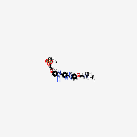 CN(C)CCCOc1ccc2[nH]c(-c3ccc(-c4nc5cc(OCCCOS(C)(=O)=O)ccc5[nH]4)cc3)nc2c1